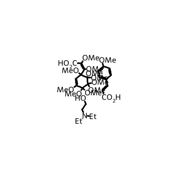 CCN(CC)CCO.COC1=CC(OC)(C(OC)=C(OC)C(=O)O)C(OC)(OC)C(OC)(OC)C1(OC)OC.COc1ccc(C=CC(=O)O)cc1